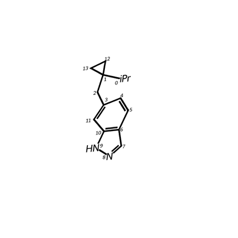 CC(C)C1(Cc2ccc3cn[nH]c3c2)CC1